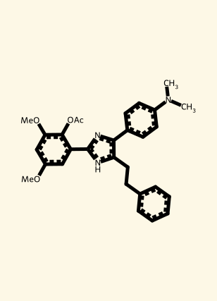 COc1cc(OC)c(OC(C)=O)c(-c2nc(-c3ccc(N(C)C)cc3)c(CCc3ccccc3)[nH]2)c1